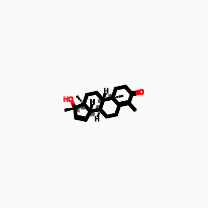 CC1=C2CC[C@@H]3[C@H](CC[C@@]4(C)[C@H]3C=C[C@]4(C)O)[C@@]2(C)CCC1=O